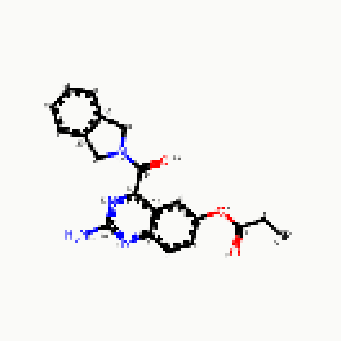 CC(C)CC(=O)Oc1ccc2nc(N)nc(C(=O)N3Cc4ccccc4C3)c2c1